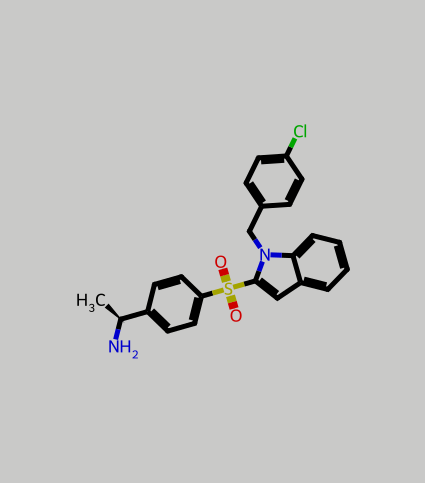 C[C@H](N)c1ccc(S(=O)(=O)c2cc3ccccc3n2Cc2ccc(Cl)cc2)cc1